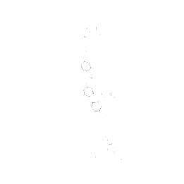 C=CC(=O)OCCOc1ccc(C(=O)Oc2ccc3c(c2)C(C)c2cc(OCCCCOC(=O)C(=C)CO)ccc2-3)cc1